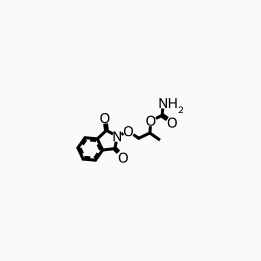 CC(CON1C(=O)c2ccccc2C1=O)OC(N)=O